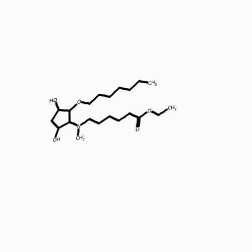 CCCCCCCOC1C(O)CC(O)C1N(C)CCCCCC(=O)OCC